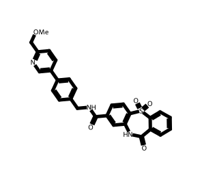 COCc1ccc(-c2ccc(CNC(=O)c3ccc4c(c3)NC(=O)c3ccccc3S4(=O)=O)cc2)cn1